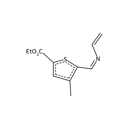 C=C/N=C\c1sc(C(=O)OCC)cc1C